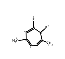 CC1=CC=C(C)C(F)C(F)=C1